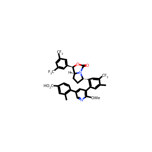 COc1ncc(-c2ccc(C(=O)O)cc2C)cc1-c1cc(C)c(C(F)(F)F)cc1[C@@H]1CC[C@H]2[C@@H](c3cc(C(F)(F)F)cc(C(F)(F)F)c3)OC(=O)N12